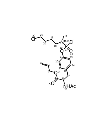 C=CCOC(=O)C(Cc1ccc(OP(=O)(Cl)N(C)CCCCCl)cc1)NC(C)=O